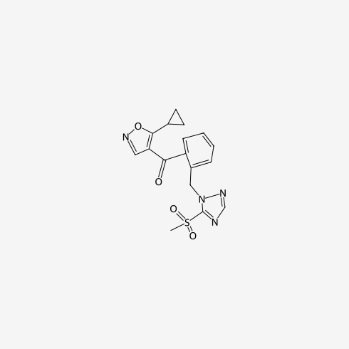 CS(=O)(=O)c1ncnn1Cc1ccccc1C(=O)c1cnoc1C1CC1